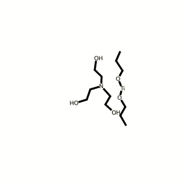 CCC[O][Ti][O]CCC.OCCN(CCO)CCO